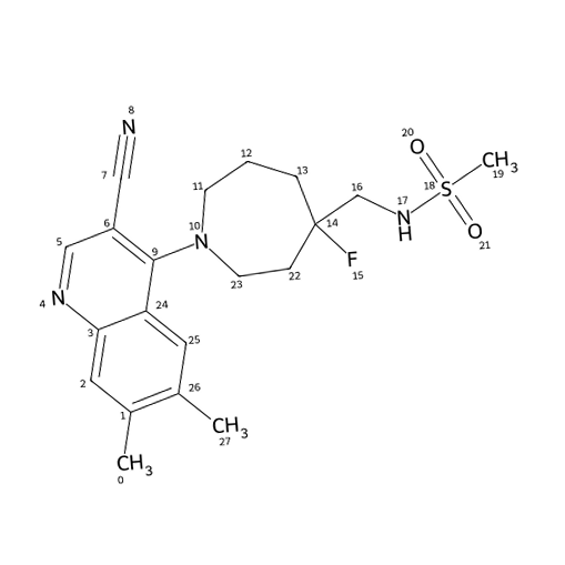 Cc1cc2ncc(C#N)c(N3CCCC(F)(CNS(C)(=O)=O)CC3)c2cc1C